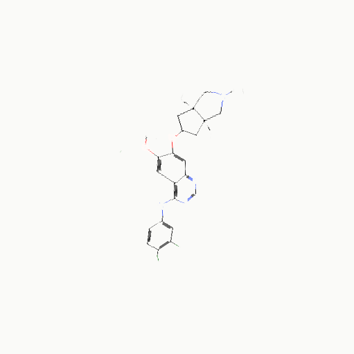 COc1cc2c(Nc3ccc(Cl)c(Cl)c3)ncnc2cc1OC1C[C@@H]2CN(C)C[C@@H]2C1.Cl